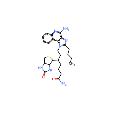 CCCCc1nc2c(N)nc3ccccc3c2n1CCC(CCCC(N)=O)C1SCC2NC(=O)NC21